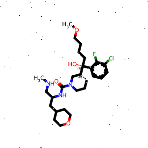 CNCC(CC1CCOCC1)NC(=O)N1CCC[C@@H]([C@@](O)(CCCCOC)c2cccc(Cl)c2F)C1